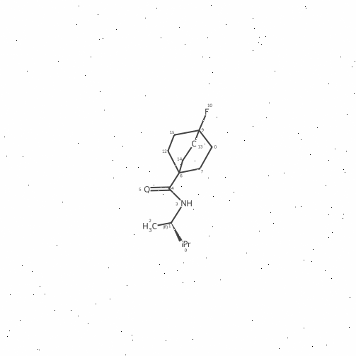 CC(C)[C@@H](C)NC(=O)C12CCC(F)(CC1)CC2